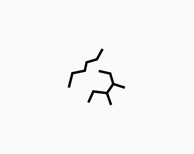 CCC(C)C(C)CC.CCCCCC